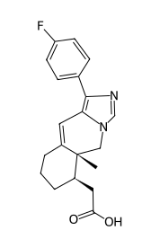 C[C@]12Cn3cnc(-c4ccc(F)cc4)c3C=C1CCC[C@@H]2CC(=O)O